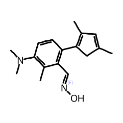 CC1=CC(C)=C(c2ccc(N(C)C)c(C)c2/C=N/O)C1